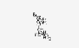 CC[C@@H](NC(=O)C[C@@H](C)C1CC[C@H]2[C@@H]3[C@H](O)C[C@@H]4CC(=O)CC[C@]4(C)[C@H]3CC[C@]12C)c1ccc(Br)s1